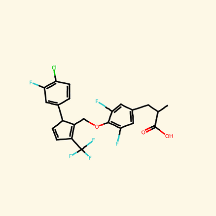 CC(Cc1cc(F)c(OCC2=C(C(F)(F)F)C=CC2c2ccc(Cl)c(F)c2)c(F)c1)C(=O)O